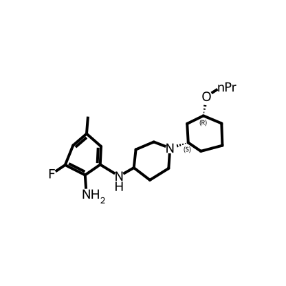 CCCO[C@@H]1CCC[C@H](N2CCC(Nc3cc(C)cc(F)c3N)CC2)C1